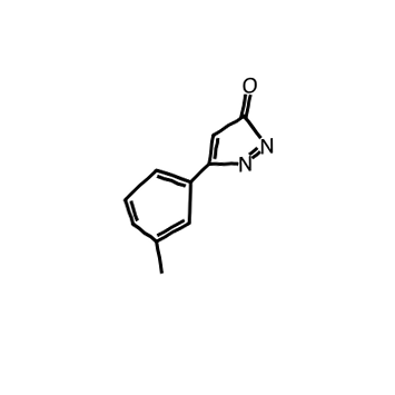 Cc1cccc(C2=CC(=O)N=N2)c1